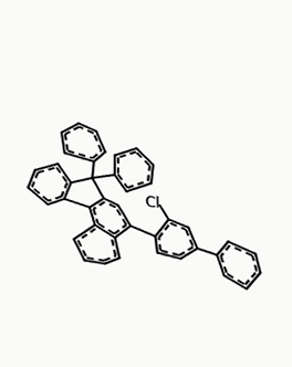 Clc1cc(-c2ccccc2)ccc1-c1cc2c(c3ccccc13)-c1ccccc1C2(c1ccccc1)c1ccccc1